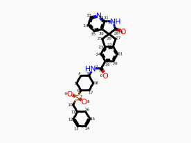 O=C(NC1CCC(S(=O)(=O)CC2C=CC=CC2)CC1)c1ccc2c(c1)CC1(C2)C(=O)Nc2ncccc21